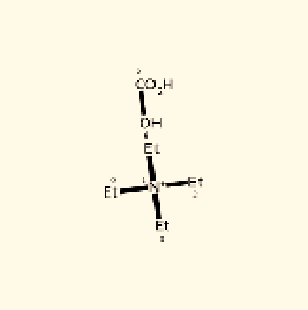 CC[N+](CC)(CC)CC.O=C(O)O